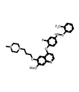 COc1cc2nccc(Oc3ccc(NSc4ccccc4C(F)(F)F)cc3F)c2cc1OCCCN1CCN(C)CC1